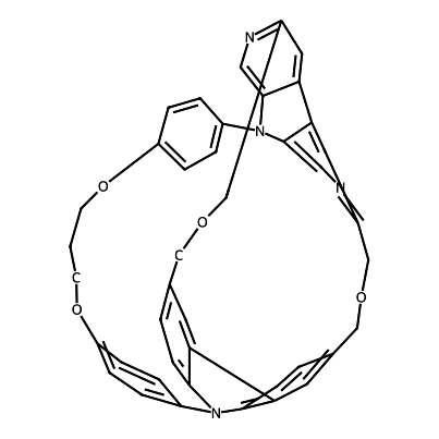 c1cc2c3cc1COCc1cc4c5cc6ncc5n(c4cn1)-c1ccc(cc1)OCCCOc1ccc(cc1)-n2c1ccc(cc31)COC6